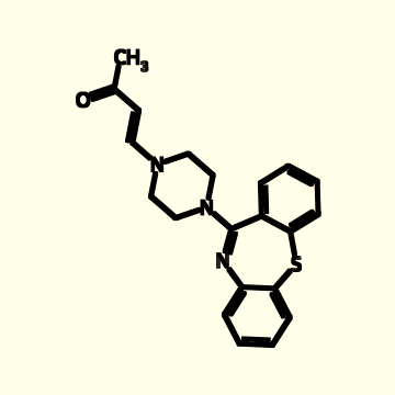 CC(=O)C=CN1CCN(C2=Nc3ccccc3Sc3ccccc32)CC1